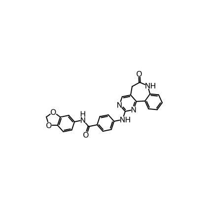 O=C1Cc2cnc(Nc3ccc(C(=O)Nc4ccc5c(c4)OCO5)cc3)nc2-c2ccccc2N1